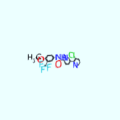 COc1ccc(NC(=O)c2ccc(-c3ncccc3Cl)cn2)cc1C(F)(F)F